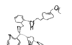 COc1ccc(CCNc2ccccc2COC(c2ccccc2)c2ccc(Cl)cc2)cc1